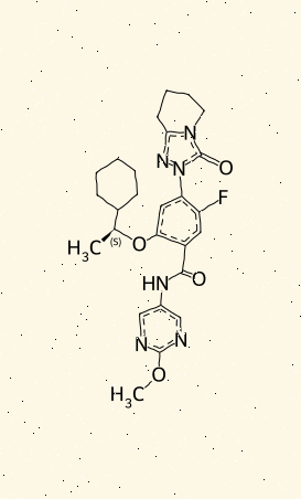 COc1ncc(NC(=O)c2cc(F)c(-n3nc4n(c3=O)CCCC4)cc2O[C@@H](C)C2CCCCC2)cn1